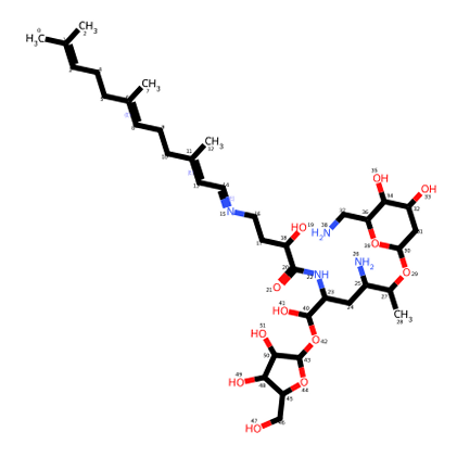 CC(C)=CCC/C(C)=C/CC/C(C)=C/C=N/CCC(O)C(=O)NC(CC(N)C(C)OC1CC(O)C(O)C(CN)O1)C(O)OC1OC(CO)C(O)C1O